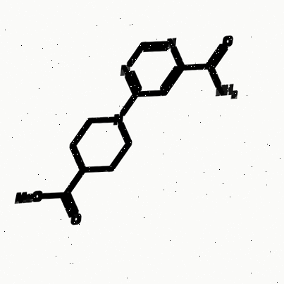 COC(=O)C1CCN(c2cc(C(N)=O)ncn2)CC1